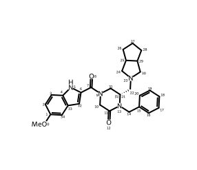 COc1ccc2[nH]c(C(=O)N3CC(=O)N(Cc4ccccc4)[C@@H](CN4CC5CCCC5C4)C3)cc2c1